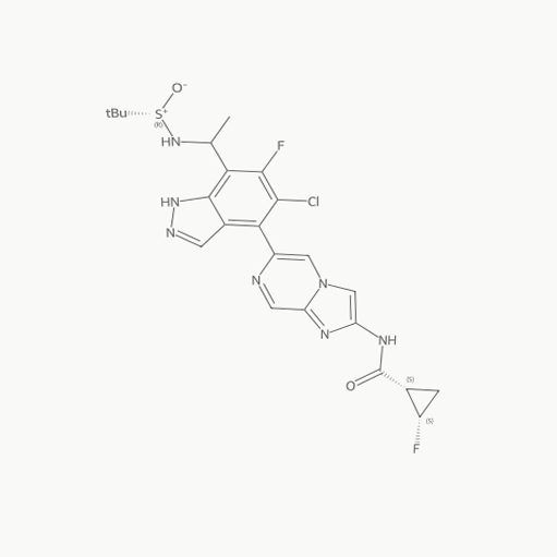 CC(N[S@@+]([O-])C(C)(C)C)c1c(F)c(Cl)c(-c2cn3cc(NC(=O)[C@@H]4C[C@@H]4F)nc3cn2)c2cn[nH]c12